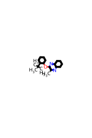 Cc1nc2ccccc2nc1Oc1ccccc1C(C)(C)C